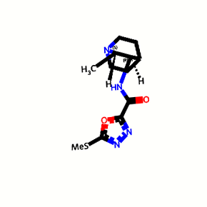 CSc1nnc(C(=O)N[C@@H]2C3CCN(CC3)[C@H]2C)o1